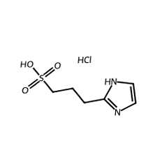 Cl.O=S(=O)(O)CCCc1ncc[nH]1